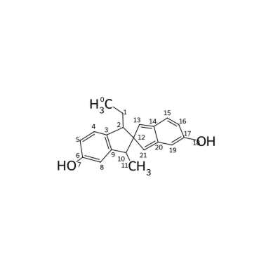 CCC1c2ccc(O)cc2C(C)C12C=c1ccc(O)cc1=C2